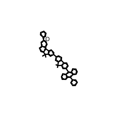 CC1(C)c2cc(-c3ccc4c(c3)C(C)(C)c3ccc5cc6c(cc5c3-4)oc3ccccc36)ccc2-c2ccc(-c3c4ccccc4c(-c4ccccc4)c4ccccc34)cc21